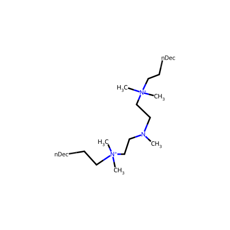 CCCCCCCCCCCC[N+](C)(C)CCN(C)CC[N+](C)(C)CCCCCCCCCCCC